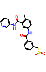 Cc1ccc(NC(=O)c2cccc(C[SH](=O)=O)c2)cc1C(=O)Nc1cccnc1